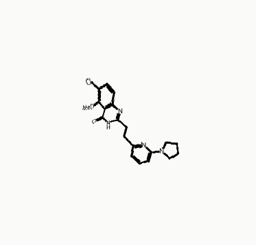 COc1c(Cl)ccc2nc(CCc3cccc(N4CCCC4)n3)[nH]c(=O)c12